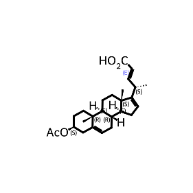 CC(=O)O[C@H]1CC[C@@]2(C)C(=CC[C@@H]3[C@@H]2CC[C@]2(C)C([C@@H](C)/C=C/C(=O)O)=CC[C@@H]32)C1